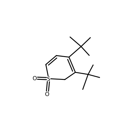 CC(C)(C)C1=C(C(C)(C)C)CS(=O)(=O)C=C1